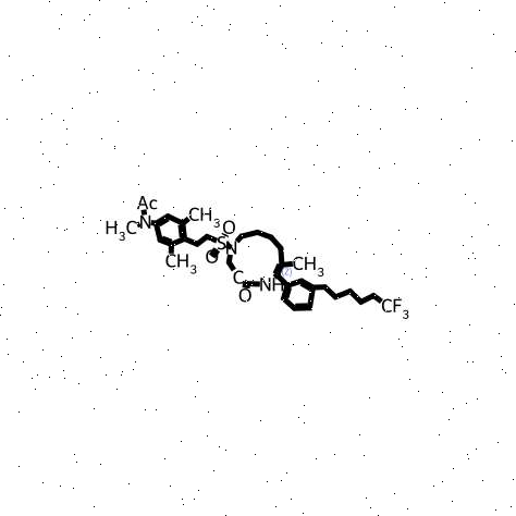 CC(=O)N(C)c1cc(C)c(CCS(=O)(=O)N2CCCC/C(C)=C(/c3cccc(CCCCCC(F)(F)F)c3)NC(=O)CC2)c(C)c1